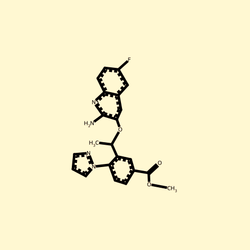 COC(=O)c1ccc(-n2cccn2)c(C(C)Oc2cc3cc(F)ccc3nc2N)c1